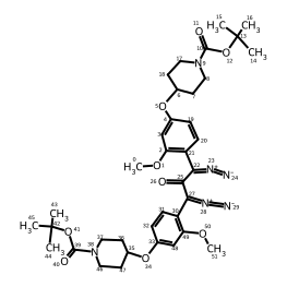 COc1cc(OC2CCN(C(=O)OC(C)(C)C)CC2)ccc1C(=[N+]=[N-])C(=O)C(=[N+]=[N-])c1ccc(OC2CCN(C(=O)OC(C)(C)C)CC2)cc1OC